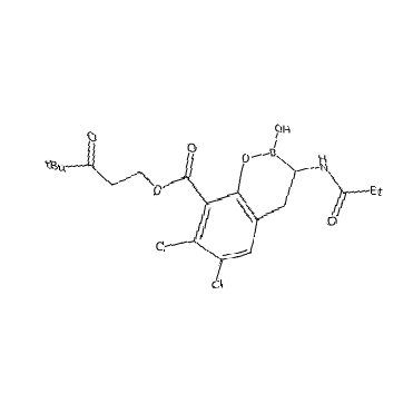 CCC(=O)NC1Cc2cc(Cl)c(Cl)c(C(=O)OCCC(=O)C(C)(C)C)c2OB1O